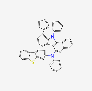 c1ccc(-c2cccc3c4c(N(c5ccccc5)c5ccc6c(c5)sc5ccccc56)cc5ccccc5c4n(-c4ccccc4)c23)cc1